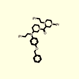 CC(C)CCN1CCN(C(C)C)CC1C(=O)N1CCCC(N(CCC(C)C)c2ccc(OCc3ccccc3)cc2)C1